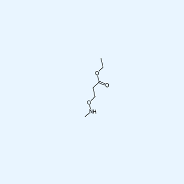 CCOC(=O)CCONC